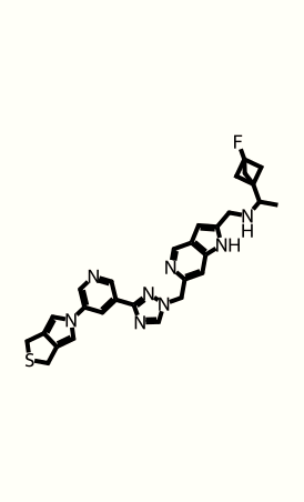 CC(NCc1cc2cnc(Cn3cnc(-c4cncc(-n5cc6c(c5)CSC6)c4)n3)cc2[nH]1)C12CC(F)(C1)C2